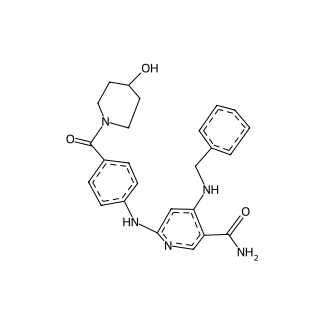 NC(=O)c1cnc(Nc2ccc(C(=O)N3CCC(O)CC3)cc2)cc1NCc1ccccc1